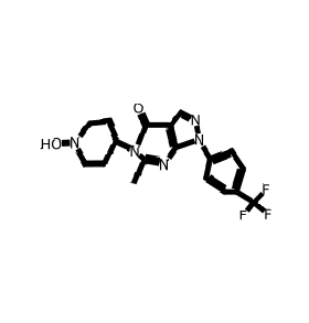 Cc1nc2c(cnn2-c2ccc(C(F)(F)F)cc2)c(=O)n1C1CCN(O)CC1